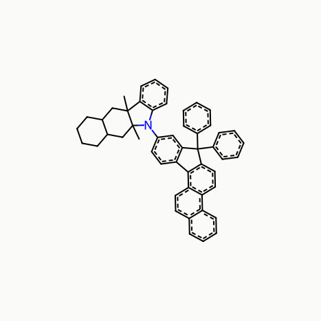 CC12CC3CCCCC3CC1(C)N(c1ccc3c(c1)C(c1ccccc1)(c1ccccc1)c1ccc4c(ccc5ccccc54)c1-3)c1ccccc12